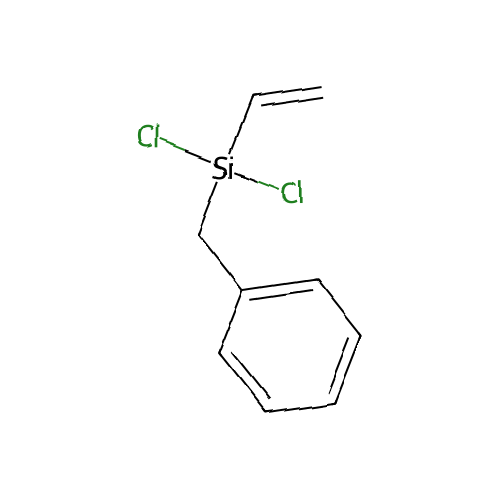 C=C[Si](Cl)(Cl)Cc1ccccc1